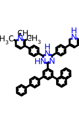 CC1=C(c2ccc(C3NC(c4cc(-c5ccc(-c6ccccc6)cc5)cc(-c5cccc6ccccc56)c4)=NC(c4ccc(C5=CC=CNC5)cc4)N3)cc2)C=CC(C)N1C